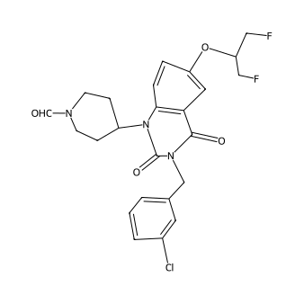 O=CN1CCC(n2c(=O)n(Cc3cccc(Cl)c3)c(=O)c3cc(OC(CF)CF)ccc32)CC1